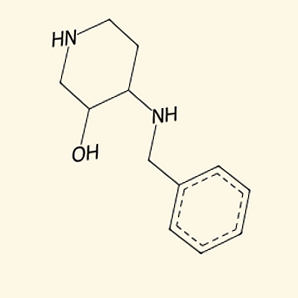 OC1CNCCC1NCc1ccccc1